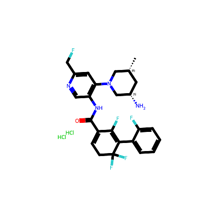 C[C@@H]1C[C@H](N)CN(c2cc(CF)ncc2NC(=O)C2=CCC(F)(F)C(c3ccccc3F)=C2F)C1.Cl.Cl